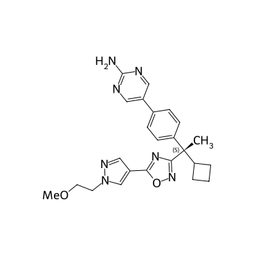 COCCn1cc(-c2nc([C@](C)(c3ccc(-c4cnc(N)nc4)cc3)C3CCC3)no2)cn1